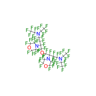 FC(F)(F)C(F)(F)N(C(F)(F)C(F)(F)F)C(F)(F)C(F)(F)C(F)(N1C(F)(F)C(F)(F)OC(F)(F)C1(F)F)C(F)(F)OC(F)(F)C(F)(N1C(F)(F)C(F)(F)OC(F)(F)C1(F)F)C(F)(F)C(F)(F)N(C(F)(F)C(F)(F)F)C(F)(F)C(F)(F)F